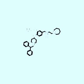 COc1cc(CNCCN2CCCCCC2)ccc1OC1CCN(CC(c2ccccc2)c2ccccc2)CC1